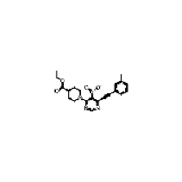 CCOC(=O)C1CCN(c2ncnc(C#Cc3cccc(C)c3)c2[N+](=O)[O-])CC1